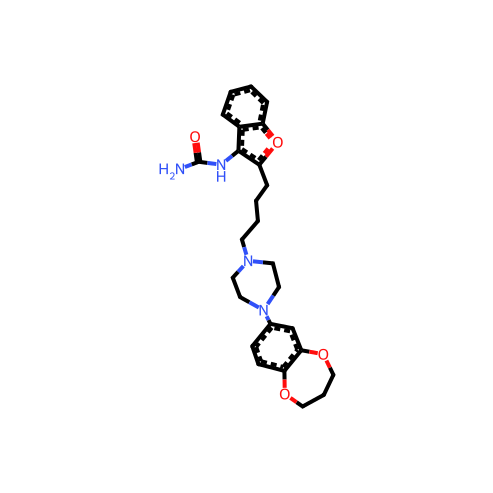 NC(=O)Nc1c(CCCCN2CCN(c3ccc4c(c3)OCCCO4)CC2)oc2ccccc12